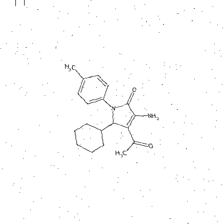 CC(=O)C1=C(N)C(=O)N(c2ccc(C)cc2)C1C1CCCCC1